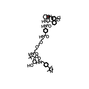 Cc1ncsc1-c1ccc(CNC(=O)[C@@H]2C[C@@H](O)CN2C(=O)C(NC(=O)CCOCCOCCNC(=O)c2ccc(NC(=O)[C@@H]3NC4(CCCCC4)[C@@]4(C(=O)Nc5cc(Cl)ccc54)[C@H]3c3cccc(Cl)c3F)cc2)C(C)(C)C)cc1